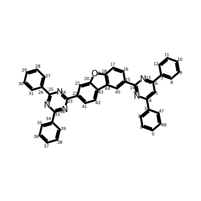 c1ccc(-c2cc(-c3ccccc3)nc(-c3ccc4oc5cc(-c6nc(-c7ccccc7)nc(-c7ccccc7)n6)ccc5c4c3)n2)cc1